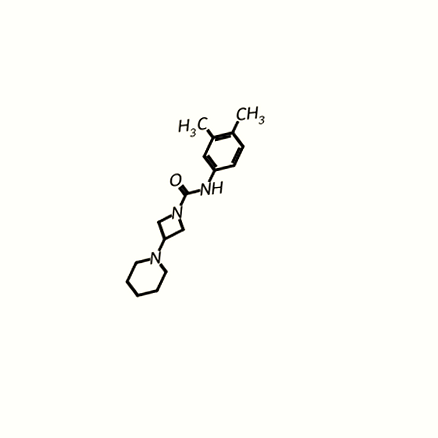 Cc1ccc(NC(=O)N2CC(N3CCCCC3)C2)cc1C